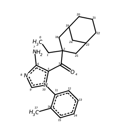 CCC1(C(=O)c2c(N)ncn2-c2ccccc2C)CC2CCCC(C2)C1